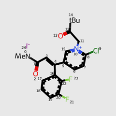 CNC(=O)C=C(c1ccc(Cl)[n+](CC(=O)C(C)(C)C)c1)c1cccc(F)c1F.[I-]